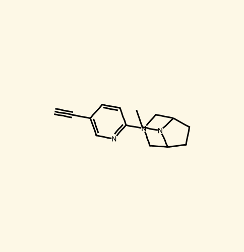 C#Cc1ccc(N2CC3CCC(C2)N3CC)nc1